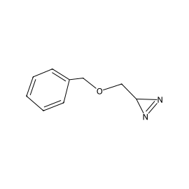 c1ccc(COCC2N=N2)cc1